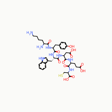 NCCCCC(N)C(=O)NC(Cc1ccc(O)cc1)C(=O)N[C@@H](Cc1c[nH]c2ccccc12)C(=O)NC(CC(=O)O)C(=O)NC(CCC(=O)O)C(=O)NC(CS)C(=O)O